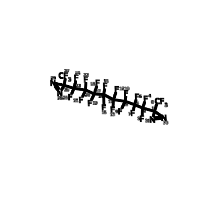 FC(F)(F)C1(C(F)(F)C(F)(F)C(F)(F)C(F)(F)C(F)(F)C(F)(F)C(F)(F)C(F)(F)C2(C(F)(F)F)N=N2)N=N1